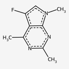 Cc1nc(C)c2c(F)cn(C)c2n1